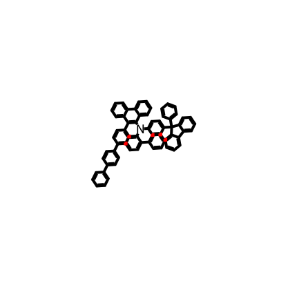 c1ccc(-c2ccc(-c3ccc(-c4c(N(c5ccc(C6(c7ccccc7)c7ccccc7-c7ccccc76)cc5)c5ccccc5-c5ccccc5)c5ccccc5c5ccccc45)cc3)cc2)cc1